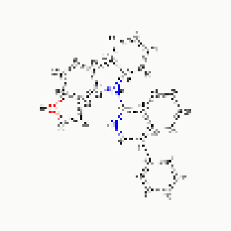 c1ccc(-c2cnc(-n3c4ccccc4c4ccc5occc5c43)c3ccccc23)cc1